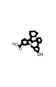 O=C(O)c1ccc2c(C3CCCCC3)c3n(c2c1)CC1C[C@H](O)CC1c1ccccc1-3